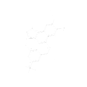 COc1cc2c(cc1O)c(N[C@H](C)c1cc(N)cc(C(F)(F)F)c1)nc1nccn12